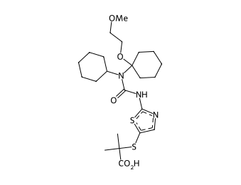 COCCOC1(N(C(=O)Nc2ncc(SC(C)(C)C(=O)O)s2)C2CCCCC2)CCCCC1